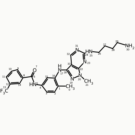 Cc1ccc(NC(=O)c2cccc(C(F)(F)F)c2)cc1Nc1nn(C)c2nc(NCCCCN)ncc12